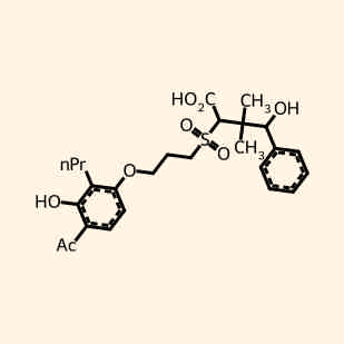 CCCc1c(OCCCS(=O)(=O)C(C(=O)O)C(C)(C)C(O)c2ccccc2)ccc(C(C)=O)c1O